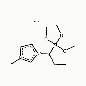 CCC([n+]1ccn(C)c1)[Si](OC)(OC)OC.[Cl-]